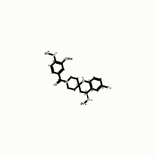 COc1cc(C(=O)N2CCC3(CC2)C[C@H](OC(C)C)c2cc(F)ccc2O3)ccc1OC(C)C